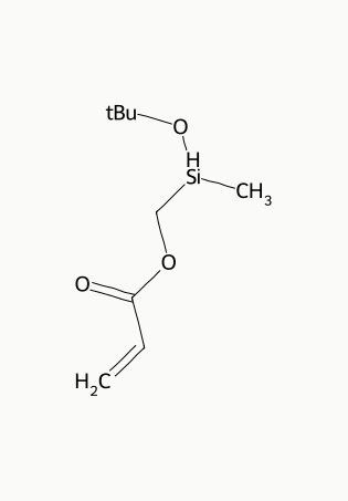 C=CC(=O)OC[SiH](C)OC(C)(C)C